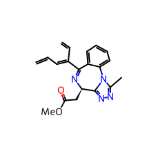 C=C/C=C(\C=C)C1=N[C@H](CC(=O)OC)c2nnc(C)n2-c2ccccc21